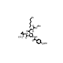 COc1ccc(C(=O)N[C@@H]2C[C@@H](C(=O)NC3(C(=O)O)CC3)N(C(=O)[C@H](CCCCCC(C)C)NC(=O)OC(C)(C)C)C2)cc1